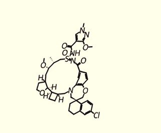 COc1nn(C)cc1C(=O)N[S@@]1(=O)=NC(=O)c2ccc3c(c2)N(C[C@@H]2CC[C@H]2[C@H]2OCC[C@@H]2C[C@H](OC)[C@H](C)C1)C[C@@]1(CCCc2cc(Cl)ccc21)CO3